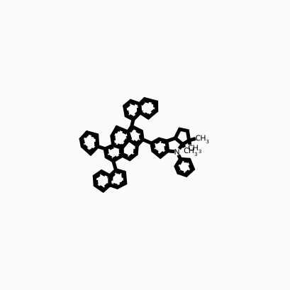 CC1(C)CCC2c3cc(-c4cc(-c5cccc6ccccc56)c5ccc6c(-c7ccccc7)cc(-c7cccc8ccccc78)c7ccc4c5c67)ccc3N(c3ccccc3)C21C